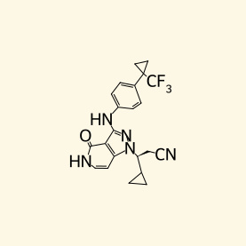 N#CC[C@@H](C1CC1)n1nc(Nc2ccc(C3(C(F)(F)F)CC3)cc2)c2c(=O)[nH]ccc21